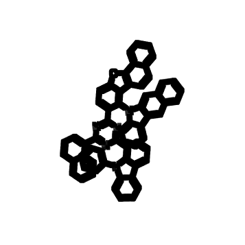 c1ccc(-n2c3ccccc3c3cccc(-c4nc(-c5ccc6oc7c8ccccc8ccc7c6c5-n5c6ccccc6c6cc7ccccc7cc65)nc(-c5cccc6ccccc56)n4)c32)cc1